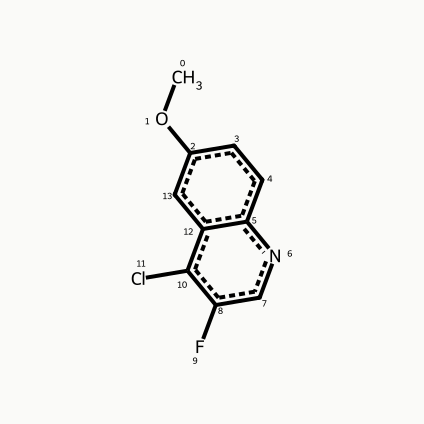 COc1ccc2ncc(F)c(Cl)c2c1